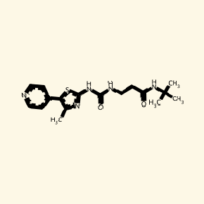 Cc1nc(NC(=O)NCCC(=O)NC(C)(C)C)sc1-c1ccncc1